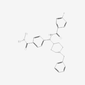 CCN(CC)C(=O)c1ccc(N(NC(=O)c2ccc(F)cc2)C2CCN(Cc3ccccc3)CC2)cc1